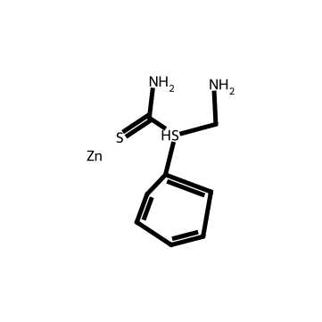 NC[SH](C(N)=S)c1ccccc1.[Zn]